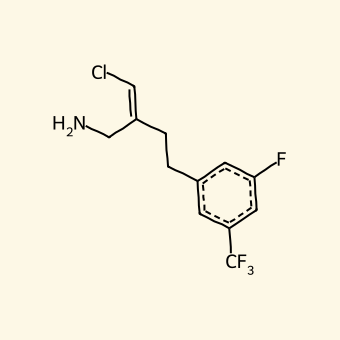 NC/C(=C\Cl)CCc1cc(F)cc(C(F)(F)F)c1